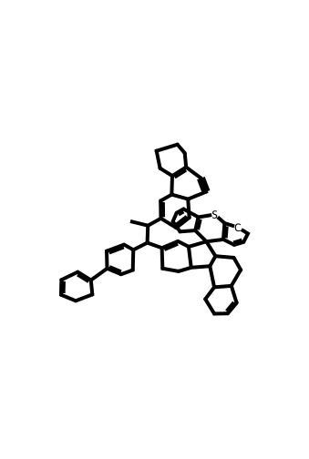 CC(C1=CC2C3=C(C#CC2C=C1)CCCC3)C(C1=CC2C(CC1)C1C3CCC=CC3CCC1C21C2=C(CCC=C2)SC2=C1CCC=C2)C1C=CC(C2=CC=CCC2)=CC1